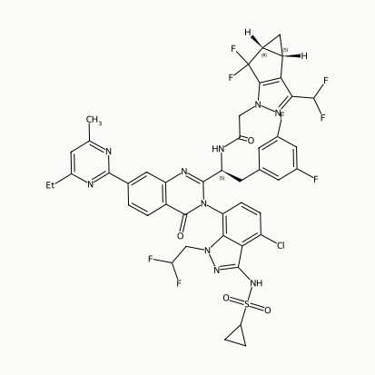 CCc1cc(C)nc(-c2ccc3c(=O)n(-c4ccc(Cl)c5c(NS(=O)(=O)C6CC6)nn(CC(F)F)c45)c([C@H](Cc4cc(F)cc(F)c4)NC(=O)Cn4nc(C(F)F)c5c4C(F)(F)[C@@H]4C[C@H]54)nc3c2)n1